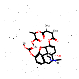 CC(=O)O[C@@H](C(=O)OC1=CC[C@@]2(O)[C@H]3Cc4ccc(OC(=O)OC(C)(C)C)c5c4[C@@]2(CCN3C)[C@H]1O5)[C@@H](OC(C)=O)C(=O)OC(C)C(=O)OC(C)(C)C